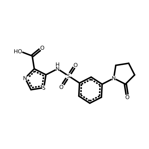 O=C(O)c1ncsc1NS(=O)(=O)c1cccc(N2CCCC2=O)c1